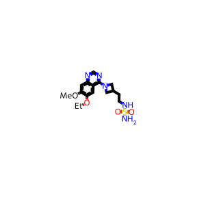 CCOc1cc2c(N3CC(CCNS(N)(=O)=O)C3)ncnc2cc1OC